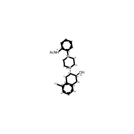 CC(=O)Nc1ccccc1N1CCN([C@H]2Cc3c(I)cccc3C[C@@H]2O)CC1